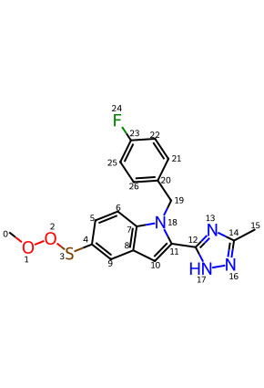 COOSc1ccc2c(c1)cc(-c1nc(C)n[nH]1)n2Cc1ccc(F)cc1